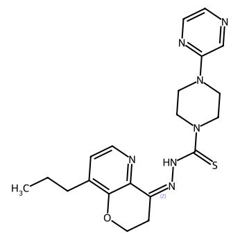 CCCc1ccnc2c1OCC/C2=N/NC(=S)N1CCN(c2cnccn2)CC1